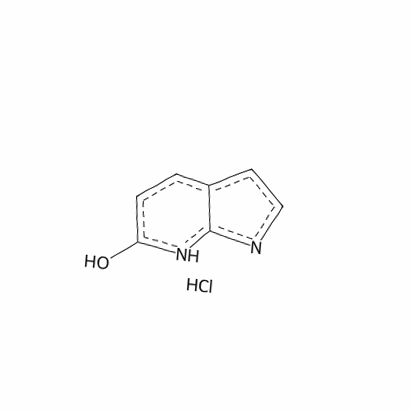 Cl.Oc1ccc2ccnc-2[nH]1